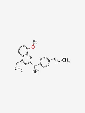 C=Cc1cc(C(CCC)c2ccc(/C=C/C)cc2)cc2c(OCC)cccc12